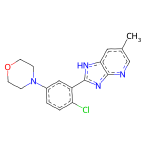 Cc1cnc2nc(-c3cc(N4CCOCC4)ccc3Cl)[nH]c2c1